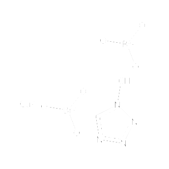 Cn1cnnn1.[Cu+2].[O-][Br+2]([O-])[O-].[O-][Br+2]([O-])[O-]